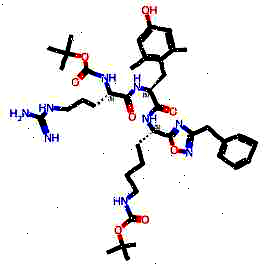 Cc1cc(O)cc(C)c1C[C@H](NC(=O)[C@H](CCCNC(=N)N)NC(=O)OC(C)(C)C)C(=O)N[C@@H](CCCCNC(=O)OC(C)(C)C)c1nc(Cc2ccccc2)no1